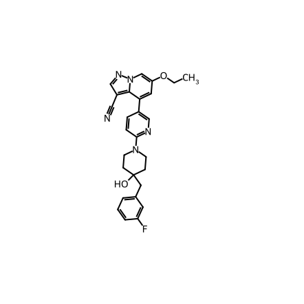 CCOc1cc(-c2ccc(N3CCC(O)(Cc4cccc(F)c4)CC3)nc2)c2c(C#N)cnn2c1